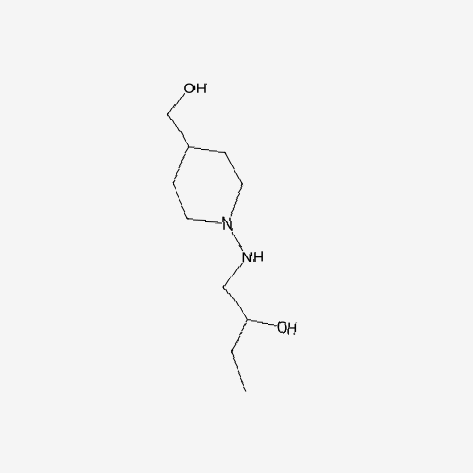 CCC(O)CNN1CCC(CO)CC1